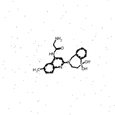 Cc1ccc2nc(N3CCS(O)(O)c4ccccc4C3)cc(NC(=O)CN)c2c1